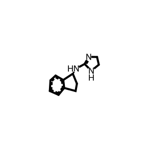 c1ccc2c(c1)CC[C@@H]2NC1=NCCN1